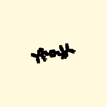 [C-]#[N+]C1=C(/C=C/c2ccc(/C=C/C3=C(C#N)C(=C(\C#N)[N+]#[C-])/OC3(C)C)cc2)C(C)(C)OC1=C(C#N)C#N